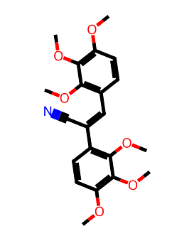 COc1ccc(/C=C(\C#N)c2ccc(OC)c(OC)c2OC)c(OC)c1OC